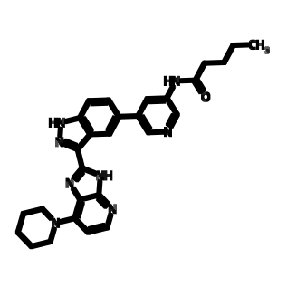 CCCCC(=O)Nc1cncc(-c2ccc3[nH]nc(-c4nc5c(N6CCCCC6)ccnc5[nH]4)c3c2)c1